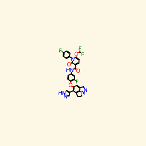 O=C(Nc1ccc(Oc2cc3cnn4c3c(c2-c2cn[nH]c2)CC4)c(F)c1)c1ccc(OC(F)F)n(-c2ccc(F)cc2)c1=O